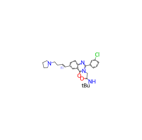 CC(C)(C)NC(=O)Cn1c(-c2cccc(Cl)c2)nc2ccc(/C=C/CCN3CCCC3)cc2c1=O